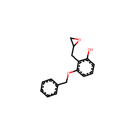 Oc1cccc(OCc2ccccc2)c1CC1CO1